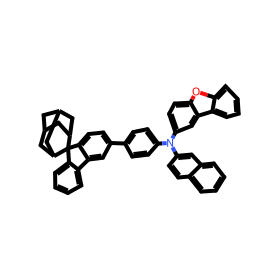 c1ccc2c(c1)-c1cc(-c3ccc(N(c4ccc5ccccc5c4)c4ccc5oc6ccccc6c5c4)cc3)ccc1C21C2CC3CC(C2)CC1C3